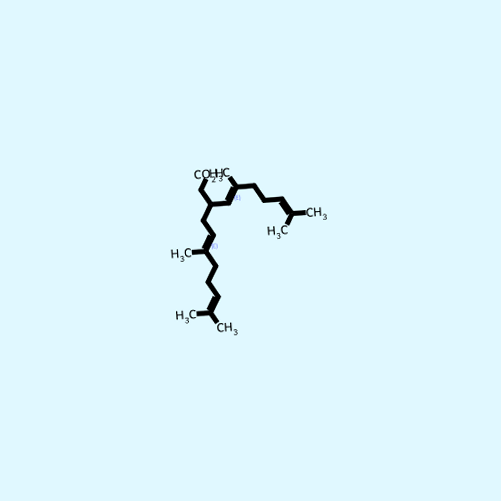 CC(C)=CCC/C(C)=C/CC(/C=C(\C)CCC=C(C)C)CC(=O)O